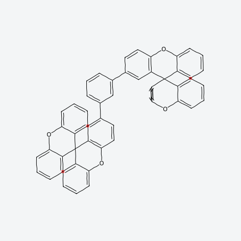 c1cc(-c2ccc3c(c2)C2(c4ccccc4Oc4ccccc42)c2ccccc2O3)cc(-c2ccc3c(c2)C2(c4ccccc4Oc4ccccc42)c2ccccc2O3)c1